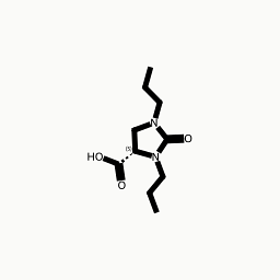 CCCN1C[C@@H](C(=O)O)N(CCC)C1=O